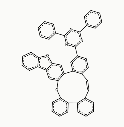 C1=C\c2ccc(-c3nc(-c4ccccc4)nc(-c4ccccc4)n3)cc2-c2cc3oc4ccccc4c3cc2Oc2ccccc2-c2ccccc2/1